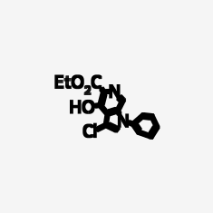 CCOC(=O)c1ncc2c(c(Cl)cn2-c2ccccc2)c1O